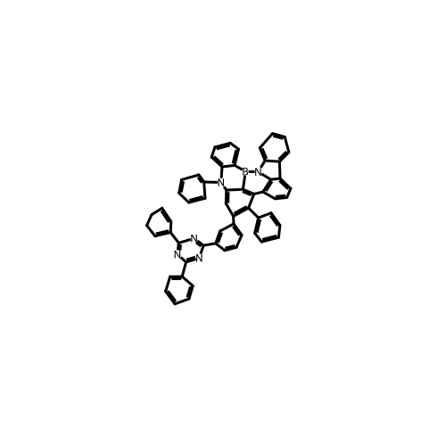 C1=CC(c2nc(-c3ccccc3)nc(-c3cccc(-c4cc5c6c(c4-c4ccccc4)-c4cccc7c8ccccc8n(c47)B6c4ccccc4N5c4ccccc4)c3)n2)=CCC1